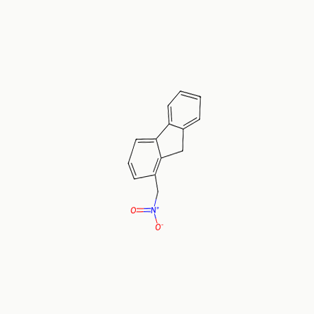 O=[N+]([O-])Cc1cccc2c1Cc1ccccc1-2